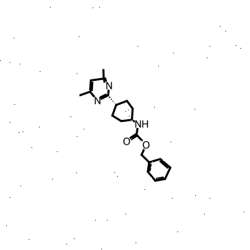 Cc1cc(C)nc([C@H]2CC[C@H](NC(=O)OCc3ccccc3)CC2)n1